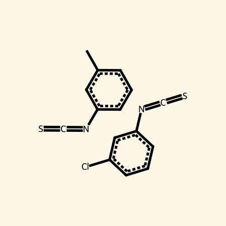 Cc1cccc(N=C=S)c1.S=C=Nc1cccc(Cl)c1